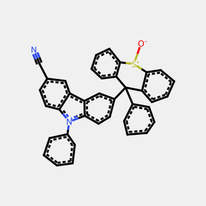 N#Cc1ccc2c(c1)c1cc(C3(c4ccccc4)c4ccccc4[S+]([O-])c4ccccc43)ccc1n2-c1ccccc1